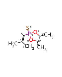 CCOP(=S)(C=C(C)C)OCC